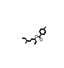 C=C/C(C)=C\C=C(/C=C)OC(=O)c1ccc(C)cc1